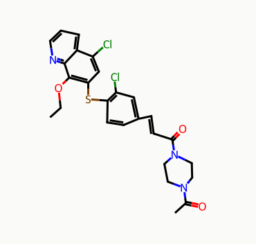 CCOc1c(Sc2ccc(C=CC(=O)N3CCN(C(C)=O)CC3)cc2Cl)cc(Cl)c2cccnc12